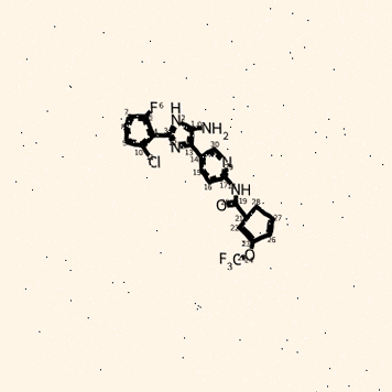 Nc1[nH]c(-c2c(F)cccc2Cl)nc1-c1ccc(NC(=O)C2C=C(OC(F)(F)F)C=CC2)nc1